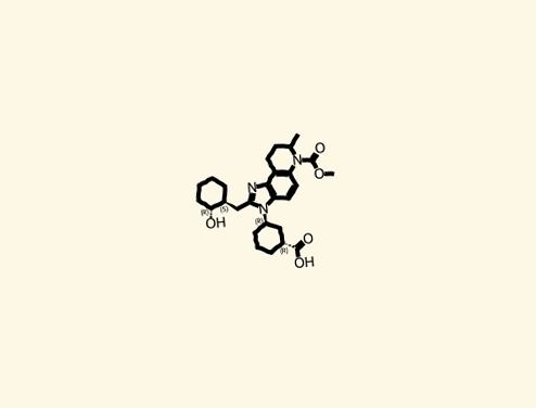 COC(=O)N1c2ccc3c(nc(C[C@@H]4CCCC[C@H]4O)n3[C@@H]3CCC[C@@H](C(=O)O)C3)c2CCC1C